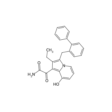 CCc1c(C(=O)C(N)=O)c2c(O)cccn2c1Cc1ccccc1-c1ccccc1